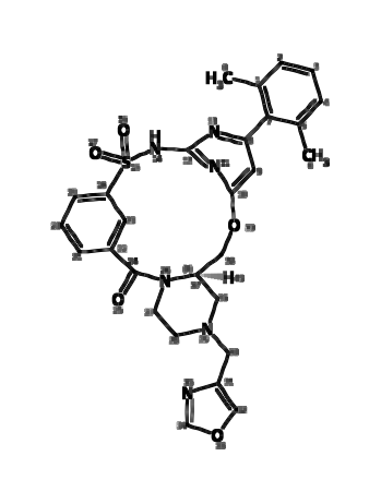 Cc1cccc(C)c1-c1cc2nc(n1)NS(=O)(=O)c1cccc(c1)C(=O)N1CCN(Cc3cocn3)C[C@@H]1CO2